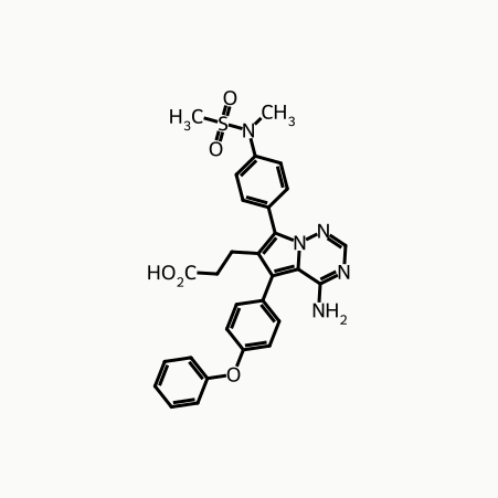 CN(c1ccc(-c2c(CCC(=O)O)c(-c3ccc(Oc4ccccc4)cc3)c3c(N)ncnn23)cc1)S(C)(=O)=O